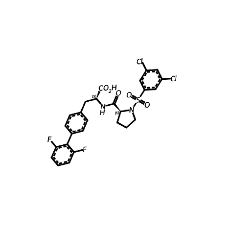 O=C(O)[C@H](Cc1ccc(-c2c(F)cccc2F)cc1)NC(=O)[C@@H]1CCCN1S(=O)(=O)c1cc(Cl)cc(Cl)c1